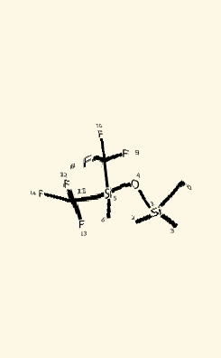 C[Si](C)(C)O[Si](C)(C(F)(F)F)C(F)(F)F